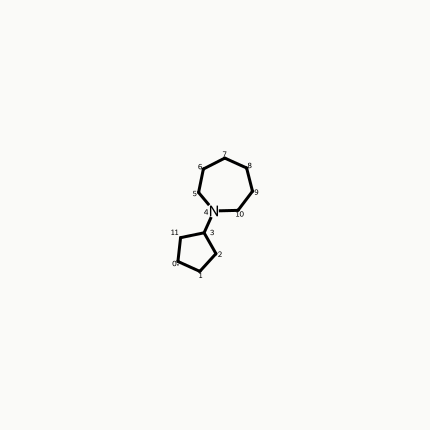 [CH]1CCC(N2CCCCCC2)C1